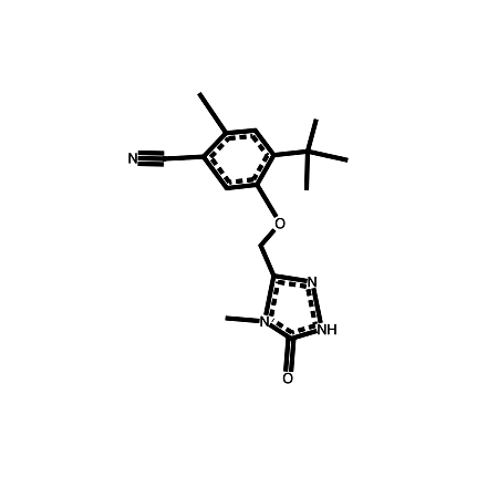 Cc1cc(C(C)(C)C)c(OCc2n[nH]c(=O)n2C)cc1C#N